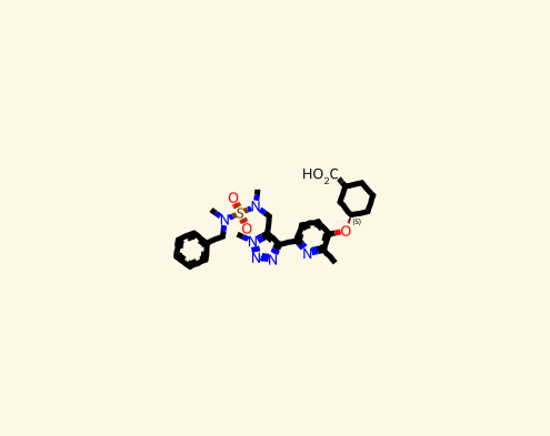 Cc1nc(-c2nnn(C)c2CN(C)S(=O)(=O)N(C)Cc2ccccc2)ccc1O[C@H]1CCCC(C(=O)O)C1